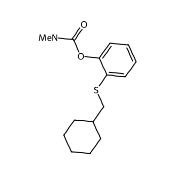 CNC(=O)Oc1ccccc1SCC1CCCCC1